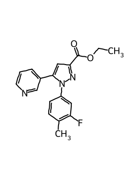 CCOC(=O)c1cc(-c2cccnc2)n(-c2ccc(C)c(F)c2)n1